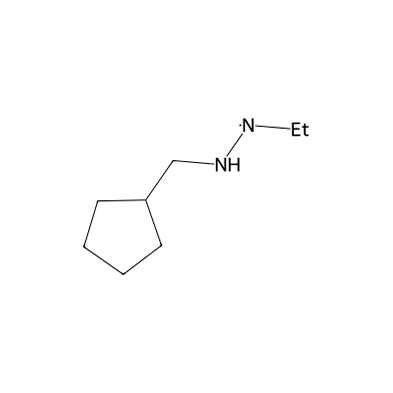 CC[N]NCC1CCCC1